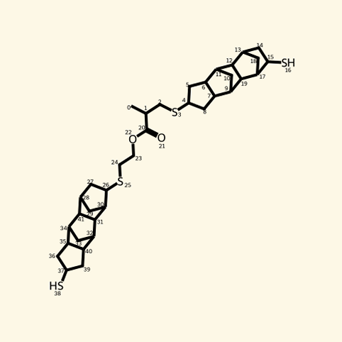 CC(CSC1CC2C(C1)C1CC2C2C3CC(S)C(C3)C12)C(=O)OCCSC1CC2CC1C1C3CC(C4CC(S)CC43)C21